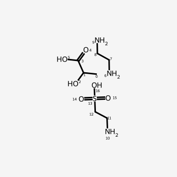 CC(O)C(=O)O.NCCN.NCCS(=O)(=O)O